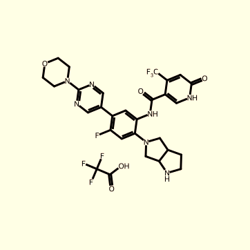 O=C(Nc1cc(-c2cnc(N3CCOCC3)nc2)c(F)cc1N1CC2CCNC2C1)c1c[nH]c(=O)cc1C(F)(F)F.O=C(O)C(F)(F)F